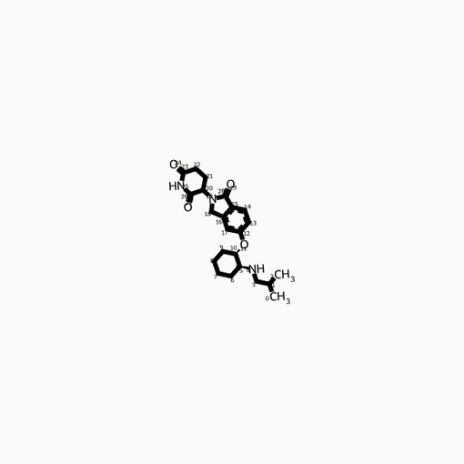 CC(C)CN[C@H]1CCCC[C@@H]1Oc1ccc2c(c1)CN(C1CCC(=O)NC1=O)C2=O